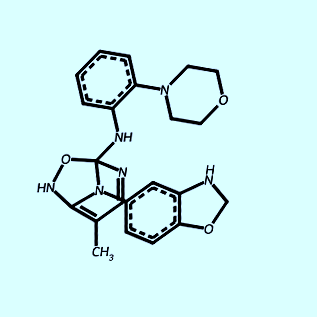 CC1=C2NOC(Nc3ccccc3N3CCOCC3)(N=C1)N2c1ccc2c(c1)NCO2